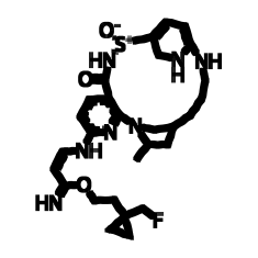 CC1CC2CCCNC3=CC=C(CN3)[S@+]([O-])NC(=O)c3ccc(N/C=C\C(=N)OCCC4(CF)CC4)nc3N1C2